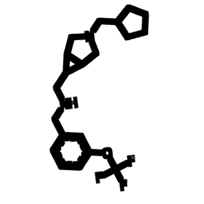 FC(F)(F)Oc1cccc(CNCC2C3CN(CC4CCCC4)CC23)c1